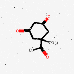 CCC(=O)C1(C(=O)O)CC(=O)CC(=O)C1